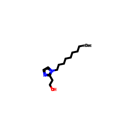 CCCCCCCCCCCCCCCCCCn1ccnc1CCO